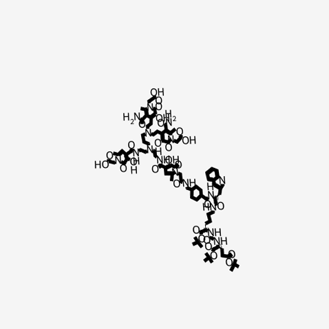 Cc1cc(C(=O)NCCN(CCCN(CCc2c(C(N)=O)c(C)n(CC(=O)O)c(=O)c2O)CCc2c(C(N)=O)c(C)n(CC(=O)O)c(=O)c2O)CCNC(=O)c2cc(C)n(CC(=O)NCC3CCC(C(=O)N[C@@H](Cc4cnc5ccccc5c4)C(=O)NCCCC[C@H](NC(=O)N[C@@H](CCC(=O)OC(C)(C)C)C(=O)OC(C)(C)C)C(=O)OC(C)(C)C)CC3)c(=O)c2O)c(O)c(=O)n1CC(=O)O